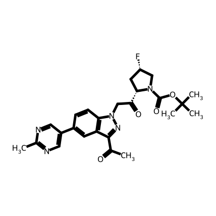 CC(=O)c1nn(CC(=O)[C@@H]2C[C@H](F)CN2C(=O)OC(C)(C)C)c2ccc(-c3cnc(C)nc3)cc12